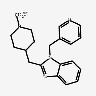 CCOC(=O)N1CCC(Cc2nc3ccccc3n2Cc2cccnc2)CC1